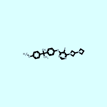 COc1ccc(C(C)(C)c2ccc(Oc3ncnc(N4CC(N5CCC5)C4)c3F)cc2)cc1